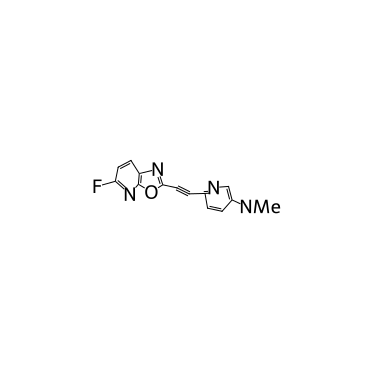 CNc1ccc(C#Cc2nc3ccc(F)nc3o2)nc1